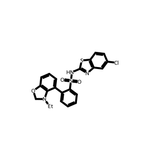 CCN1COc2cccc(-c3ccccc3S(=O)(=O)Nc3nc4cc(Cl)ccc4s3)c21